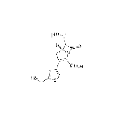 C[C@@H](O)[C@H]1C(=O)N2C(C(=O)O)=C(c3csc(CO)c3)C[C@H]12